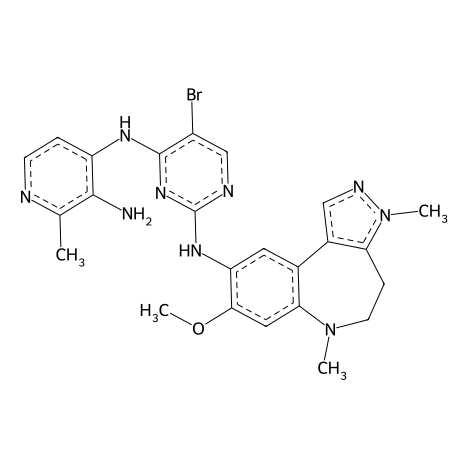 COc1cc2c(cc1Nc1ncc(Br)c(Nc3ccnc(C)c3N)n1)-c1cnn(C)c1CCN2C